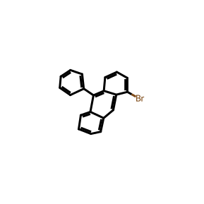 Brc1cccc2c(-c3ccccc3)c3ccccc3cc12